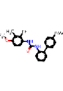 CCc1c(NC(=O)Nc2ccccc2-c2ccc(OC)cc2)ccc(OC(F)(F)F)c1C